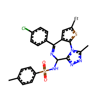 CCc1cc2c(s1)-n1c(C)nnc1C(NS(=O)(=O)c1ccc(C)cc1)N=C2c1ccc(Cl)cc1